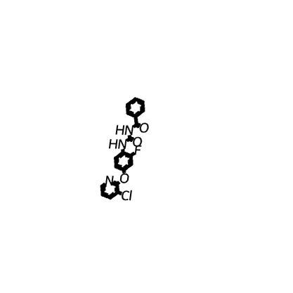 O=C(NC(=O)c1ccccc1)Nc1ccc(Oc2ncccc2Cl)cc1F